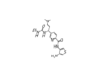 CCNC(=O)NC(CCN(C)C)c1ccc(C(=O)Nc2cscc2N)nc1